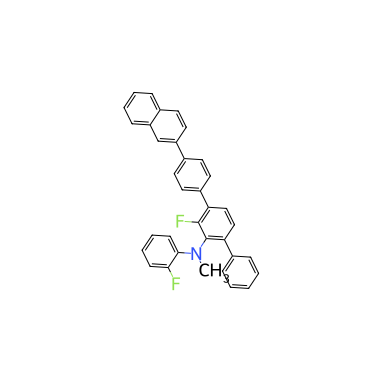 CN(c1ccccc1F)c1c(-c2ccccc2)ccc(-c2ccc(-c3ccc4ccccc4c3)cc2)c1F